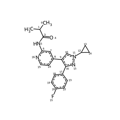 CC(C)C(=O)Nc1cc(-c2cn(C3CC3)nc2-c2ccc(F)cc2)ccn1